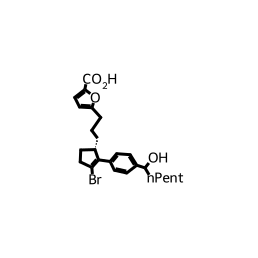 CCCCCC(O)c1ccc(C2=C(Br)CC[C@@H]2CCCc2ccc(C(=O)O)o2)cc1